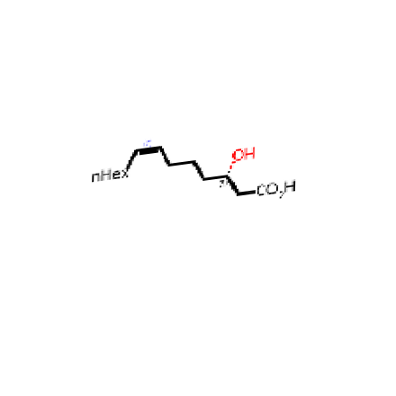 CCCCCC/C=C\CCC[C@H](O)CC(=O)O